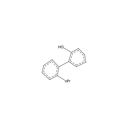 CCCc1ccccc1-c1ccccc1O